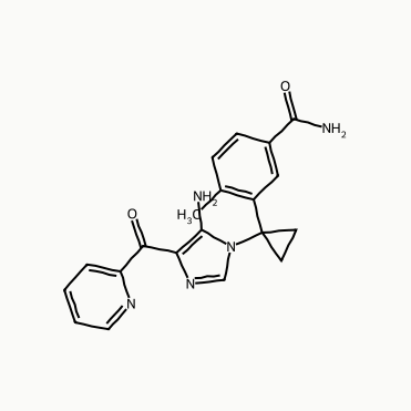 Cc1ccc(C(N)=O)cc1C1(n2cnc(C(=O)c3ccccn3)c2N)CC1